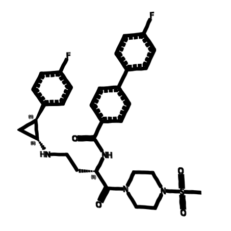 CS(=O)(=O)N1CCN(C(=O)[C@H](CCN[C@@H]2C[C@H]2c2ccc(F)cc2)NC(=O)c2ccc(-c3ccc(F)cc3)cc2)CC1